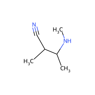 CNC(C)C(C)C#N